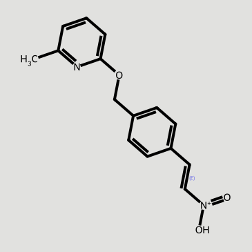 Cc1cccc(OCc2ccc(/C=C/[N+](=O)O)cc2)n1